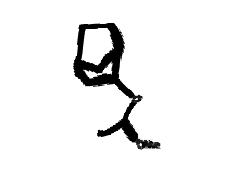 COC(C)OC1CC2CCC1C2